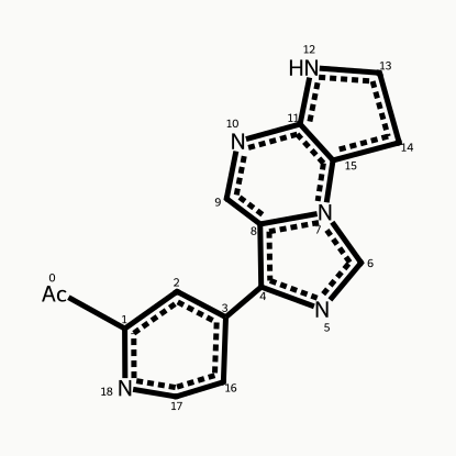 CC(=O)c1cc(-c2ncn3c2cnc2[nH]ccc23)ccn1